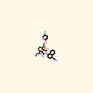 CCCC12CCC(CCOc3ccc(Cl)cn3)(O1)[C@H]1C(=O)N(c3ccc(C#N)c4ccccc34)C(=O)[C@H]12